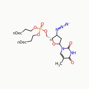 CCCCCCCCCCCCOP(=O)(OCCCCCCCCCCCC)OC[C@H]1OC(n2cc(C)c(=O)[nH]c2=O)CC1N=[N+]=[N-]